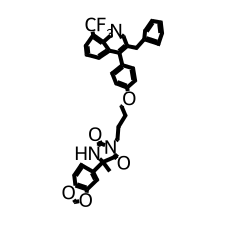 CC1(c2ccc3c(c2)OCO3)NC(=O)N(CCCCOc2ccc(-c3c(Cc4ccccc4)cnc4c(C(F)(F)F)cccc34)cc2)C1=O